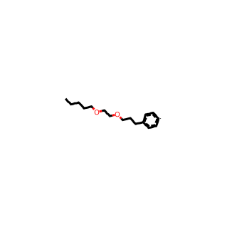 CCCCCOCCOCCCc1cc[c]cc1